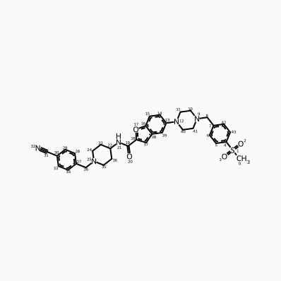 CS(=O)(=O)c1ccc(CN2CCN(c3ccc4oc(C(=O)NC5CCN(Cc6ccc(C#N)cc6)CC5)cc4c3)CC2)cc1